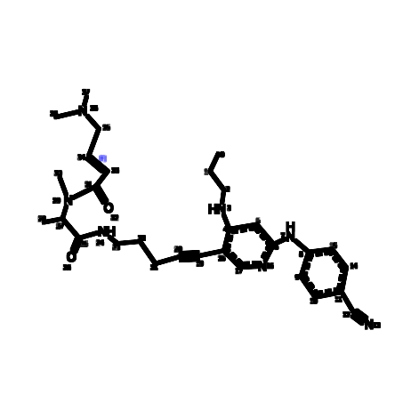 CCCNc1cc(Nc2ccc(C#N)cc2)ncc1C#CCCCNC(=O)C(C)N(C)C(=O)/C=C/CN(C)C